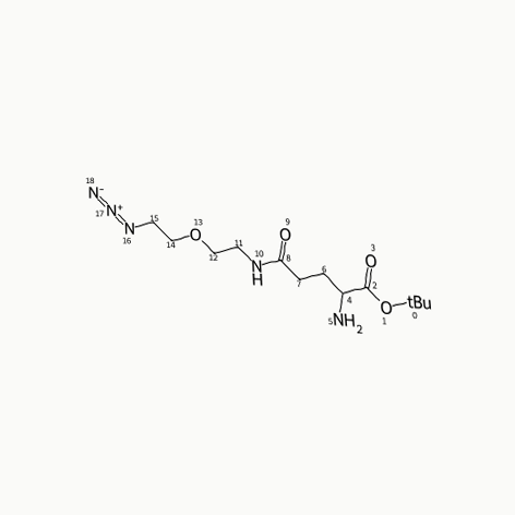 CC(C)(C)OC(=O)C(N)CCC(=O)NCCOCCN=[N+]=[N-]